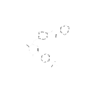 CCC1SC(=O)N(Cc2ccc(NC(=O)c3cccnc3)cc2)N=C1c1ccc(S(C)(=O)=O)cc1